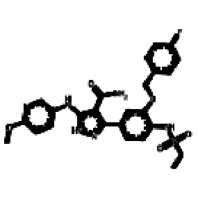 CCS(=O)(=O)Nc1ccc(-c2n[nH]c(Nc3ccc(OC)nc3)c2C(N)=O)cc1OCc1ccc(F)cc1